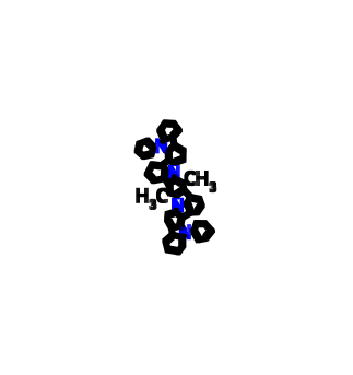 Cc1c2c3cccc4c5c6c(ccc5n(c2c(C)c2c5cccc7c8c9c(ccc8n(c12)c57)c1ccccc1n9-c1ccccc1)c34)c1ccccc1n6-c1ccccc1